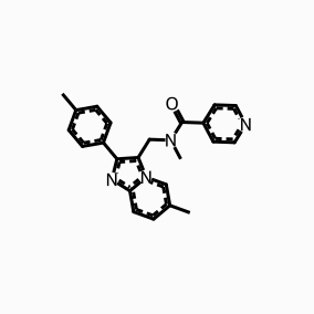 Cc1ccc(-c2nc3ccc(C)cn3c2CN(C)C(=O)c2ccncc2)cc1